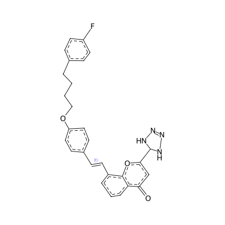 O=c1cc(C2NN=NN2)oc2c(/C=C/c3ccc(OCCCCc4ccc(F)cc4)cc3)cccc12